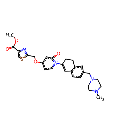 COC(=O)c1csc(COc2ccn(C3=Cc4ccc(CN5CCN(C)CC5)cc4CC3)c(=O)c2)n1